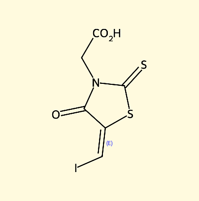 O=C(O)CN1C(=O)/C(=C\I)SC1=S